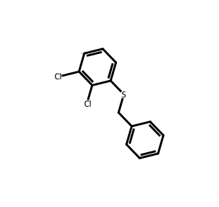 Clc1[c]ccc(SCc2ccccc2)c1Cl